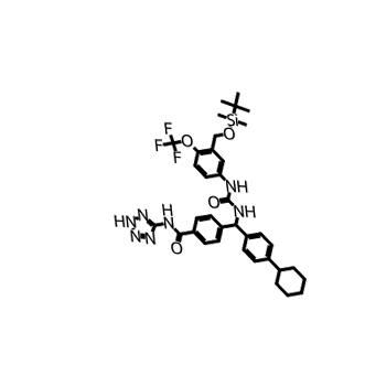 CC(C)(C)[Si](C)(C)OCc1cc(NC(=O)NC(c2ccc(C(=O)Nc3nn[nH]n3)cc2)c2ccc(C3CCCCC3)cc2)ccc1OC(F)(F)F